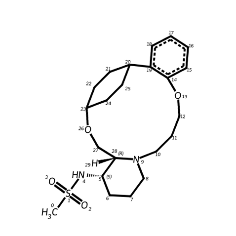 CS(=O)(=O)N[C@H]1CCCN2CCCOc3ccccc3C3CCC(CC3)OC[C@@H]12